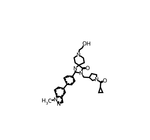 Cn1ncc2cc(-c3ccc(C4=NC5(CCN(CCO)CC5)C(=O)N4CC4CCN(C(=O)C5CC5)C4)cc3)ccc21